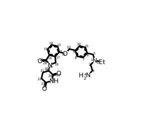 CCN(CCN)Cc1ccc(COc2cccc3c2CN([C@@H]2CCC(=O)NC2=O)C3=O)cc1